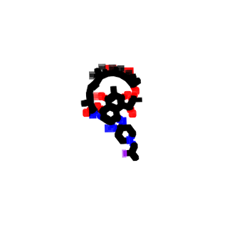 C/C1=C/C=C/[C@H](C)[C@H](O)[C@@H](C)[C@@H](O)[C@@H](C)C(C)O[C@@]2(C)Oc3c(C)c(O)c4c(c3C2=O)C2=NC3(CCN(CC(C)I)CC3)NC2=C(NC1=O)C4=O